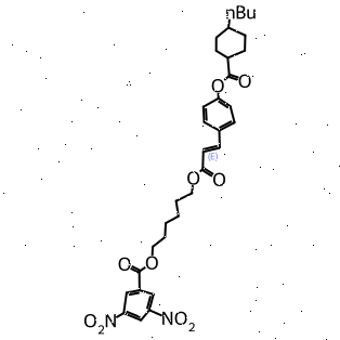 CCCCC1CCC(C(=O)Oc2ccc(/C=C/C(=O)OCCCCCCOC(=O)c3cc([N+](=O)[O-])cc([N+](=O)[O-])c3)cc2)CC1